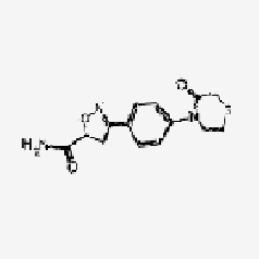 NC(=O)C1CC(c2ccc(N3CCSCC3=O)cc2)=NO1